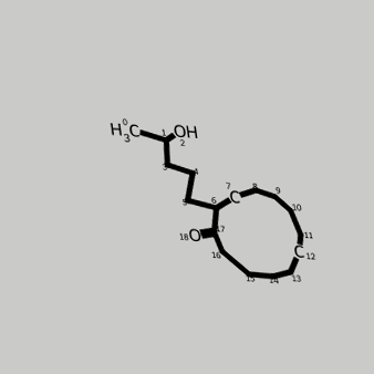 CC(O)CCCC1CCCCCCCCCCC1=O